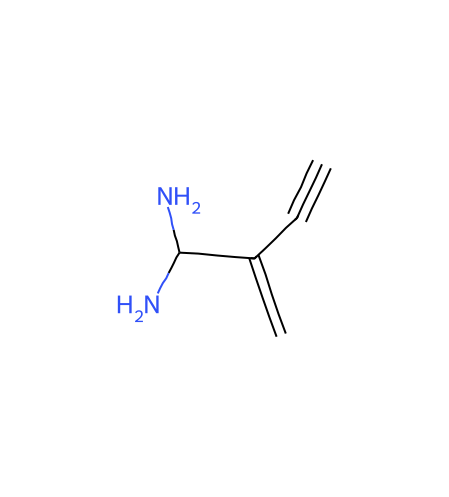 C#CC(=C)C(N)N